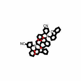 N#Cc1ccc(N(c2cc3ccc(N(c4ccc(C#N)cc4-c4ccccc4)c4cccc5c4oc4ccccc45)c4ccc5cccc2c5c34)c2cccc3c2oc2ccccc23)c(-c2ccccc2)c1